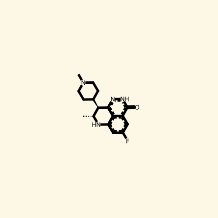 C[C@H]1Nc2cc(F)cc3c(=O)[nH]nc(c23)[C@@H]1C1CCN(C)CC1